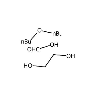 CCCCOCCCC.O=CO.OCCO